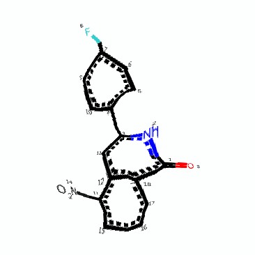 O=c1[nH]c(-c2ccc(F)cc2)cc2c([N+](=O)[O-])cccc12